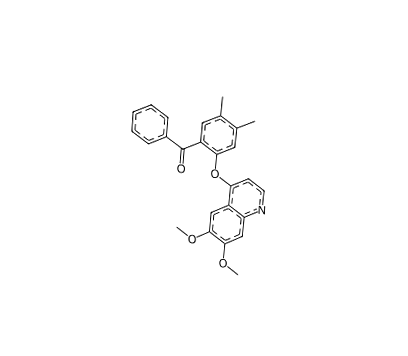 COc1cc2nccc(Oc3cc(C)c(C)cc3C(=O)c3ccccc3)c2cc1OC